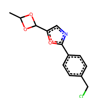 CC1OC(c2cnc(-c3ccc(CCl)cc3)o2)O1